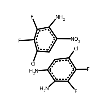 Nc1c([N+](=O)[O-])cc(Cl)c(F)c1F.Nc1cc(Cl)c(F)c(F)c1N